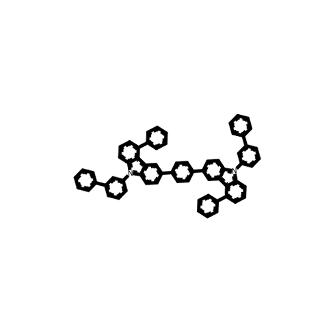 c1ccc(-c2cccc(-n3c4ccc(-c5ccc(-c6ccc7c(c6)c6c(-c8ccccc8)cccc6n7-c6cccc(-c7ccccc7)c6)cc5)cc4c4c(-c5ccccc5)cccc43)c2)cc1